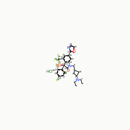 CCN(CC)C1CC(CN2C(=O)C(O)(c3c(F)cc(F)cc3F)c3c2cc(-c2ncco2)cc3C(F)(F)F)C1.Cl